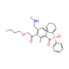 CCCCOCC(=O)c1c(CNI)ccc(C(=O)P(=O)(C2=CCCC=C2)c2ccccc2)c1C